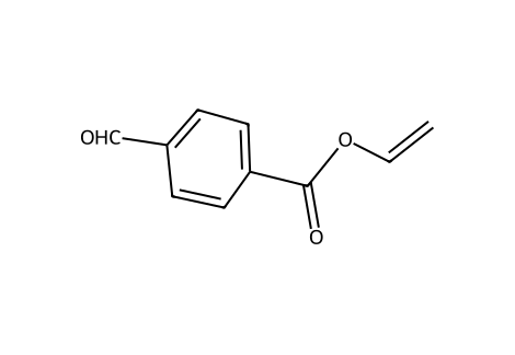 C=COC(=O)c1ccc(C=O)cc1